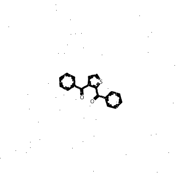 O=C(c1ccccc1)c1ccsc1C(=O)c1ccccc1